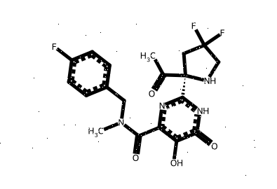 CC(=O)[C@@]1(c2nc(C(=O)N(C)Cc3ccc(F)cc3)c(O)c(=O)[nH]2)CC(F)(F)CN1